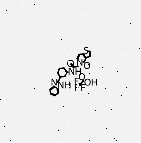 O=C(Cn1ccc2sccc2c1=O)NC1CCCC(c2nc3ccccc3[nH]2)C1.O=C(O)C(F)(F)F